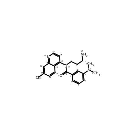 CN(C)c1cccc(C(=O)N(CCCN)c2ccnc3cc(Cl)ccc23)c1